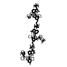 Cc1cc(Cl)c(COc2cccc3c(-n4nc(CCc5cc(Cl)c(COc6cccc7c(-n8nc(CCc9cc(Cl)c(COc%10cccc%11c(-c%12ncnn%12C)cc(C)nc%10%11)c([C@H](C)NC(=O)[C@@H]%10CC[C@H](C)O%10)c9)nc8C)cc(C)nc67)c([C@H](C)NC(=O)COC(F)F)c5)nc4C)cc(C)nc23)c([C@H](C)NC(=O)c2ccon2)c1